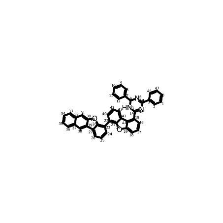 c1ccc(C2=NC(c3ccccc3)NC(c3cccc4oc5c(-c6cccc7c6oc6cc8ccccc8cc67)cccc5c34)=N2)cc1